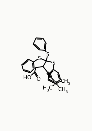 C[Si](C)(C)C#CC(CC(=O)O)C(Sc1ccccc1)(Sc1ccccc1)Sc1ccccc1